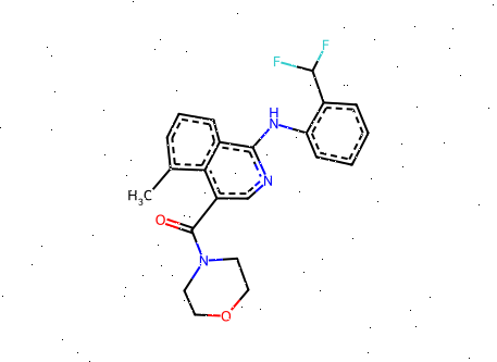 Cc1cccc2c(Nc3ccccc3C(F)F)ncc(C(=O)N3CCOCC3)c12